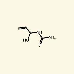 C=CC(O)NC(N)=S